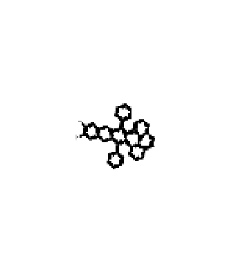 Fc1cc2cc3c(-c4ccccc4)c4c5cccc6ccc7cccc(c4c(-c4ccccc4)c3cc2cc1F)c7c65